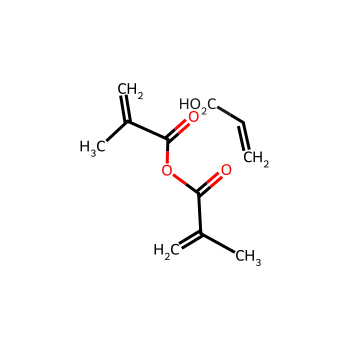 C=C(C)C(=O)OC(=O)C(=C)C.C=CC(=O)O